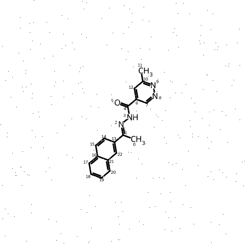 C/C(=N\NC(=O)c1cnnc(C)c1)c1ccc2ccccc2c1